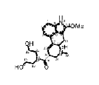 COc1[nH]c2cccc3c2c1C[C@@H]1C3=C[C@@H](C(=O)N(CCO)CCO)CN1C